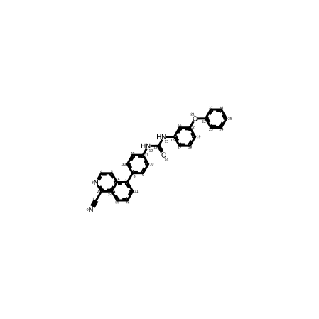 N#Cc1nccc2c(-c3ccc(NC(=O)Nc4cccc(Oc5ccccc5)c4)cc3)cccc12